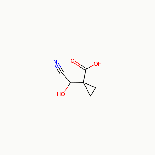 N#CC(O)C1(C(=O)O)CC1